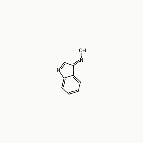 ON=C1C=Nc2ccccc21